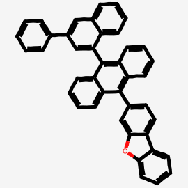 c1ccc(-c2cc(-c3c4ccccc4c(-c4ccc5c(c4)oc4ccccc45)c4ccccc34)c3ccccc3c2)cc1